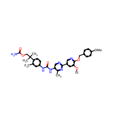 CCOc1cc(-c2ncc(NC(=O)Nc3ccc(C(C)(C)COC(N)=O)c(C(F)(F)F)c3)c(C)n2)cnc1OCc1ccc(OC)cc1